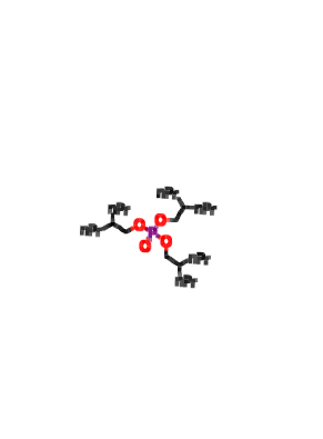 CCCC(CCC)COP(=O)(OCC(CCC)CCC)OCC(CCC)CCC